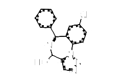 OC1N=C(c2ccccc2)c2cc(Cl)ccc2-n2nncc21